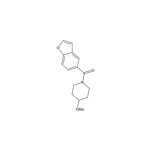 COC1CCN(C(=O)c2ccc3occc3c2)CC1